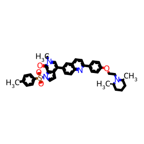 Cc1ccc(S(=O)(=O)n2ccc3c(-c4ccc5nc(-c6ccc(OCCN7[C@H](C)CCC[C@@H]7C)cc6)ccc5c4)cn(C)c(=O)c32)cc1